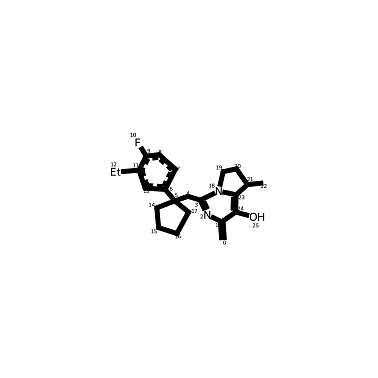 C=C1N=C(CC2(c3ccc(F)c(CC)c3)CCCC2)N2CCC(C)C2=C1O